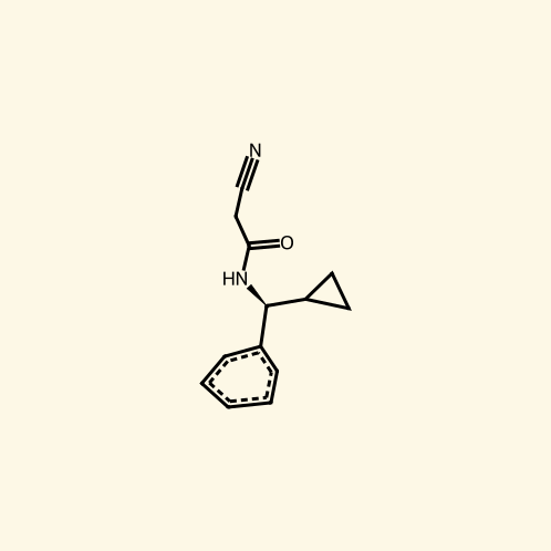 N#CCC(=O)N[C@H](c1ccccc1)C1CC1